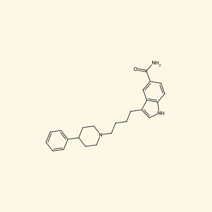 NC(=O)c1ccc2[nH]cc(CCCCN3CCC(c4ccccc4)CC3)c2c1